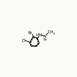 CNNc1cccc(Cl)c1Br